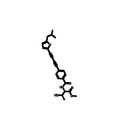 COC(=O)[C@H](NC(=O)c1ccc(C#CC#Cc2ccc(CN(C)C)o2)cc1)[C@@H](C)O